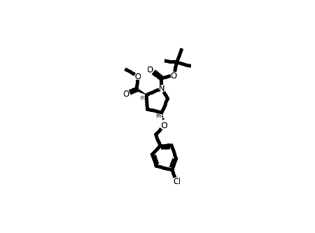 COC(=O)[C@@H]1C[C@@H](OCc2ccc(Cl)cc2)CN1C(=O)OC(C)(C)C